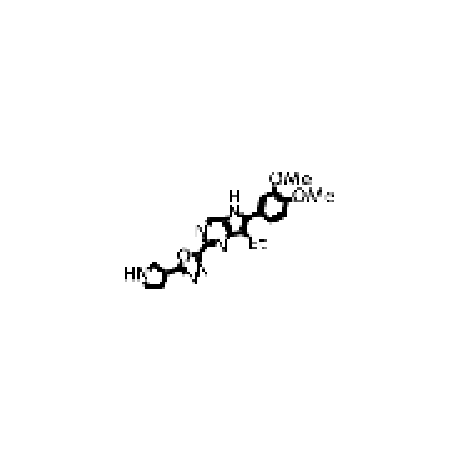 CCc1c(-c2ccc(OC)c(OC)c2)[nH]c2cnc(-c3nnc(C4CCNC4)o3)nc12